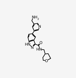 NCc1cncc(-c2ccc3[nH]nc(C(=O)NCC4CCOCC4)c3c2)c1